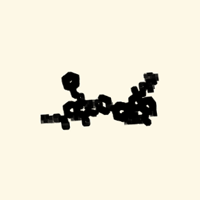 CCn1c(-c2cccnc2C(C)OC)c(CC(C)(C)CO[Si](C)(C)C(C)(C)C)c2cc(N3CCO[C@@H](CC(NC(=O)OCc4ccccc4)C(=O)N4CCC[C@@H](C(=O)OC)N4)C3)ccc21